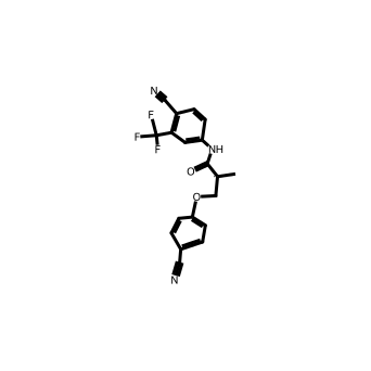 C[C](COc1ccc(C#N)cc1)C(=O)Nc1ccc(C#N)c(C(F)(F)F)c1